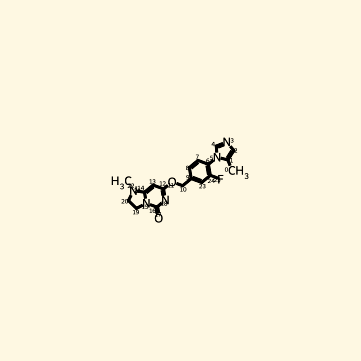 Cc1cncn1-c1ccc(COc2cc3n(c(=O)n2)CCN3C)cc1F